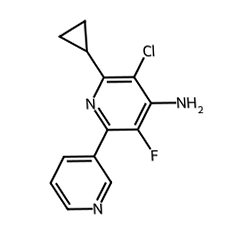 Nc1c(F)c(-c2cccnc2)nc(C2CC2)c1Cl